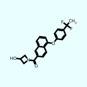 CC(F)(F)c1ccc(Oc2cccc3cc(C(=O)N4CC(O)C4)ccc23)cc1